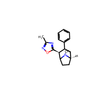 Cc1noc([C@H]2C(c3ccccc3)C[C@H]3CCC2N3C)n1